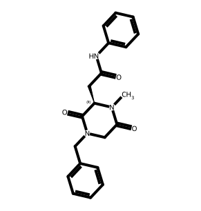 CN1C(=O)CN(Cc2ccccc2)C(=O)[C@H]1CC(=O)Nc1ccccc1